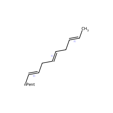 C/C=C/C/C=C/C/C=C/CCCCC